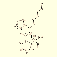 CCCCCCCSC(Cn1ccnc1)c1ccccc1C(F)(F)F